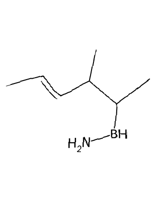 CC=CC(C)C(C)BN